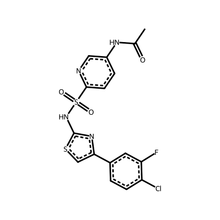 CC(=O)Nc1ccc(S(=O)(=O)Nc2nc(-c3ccc(Cl)c(F)c3)cs2)nc1